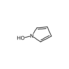 On1cccc1